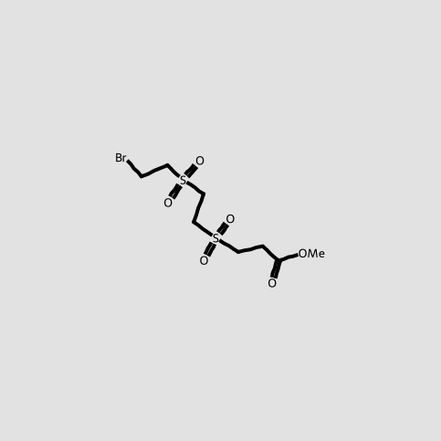 COC(=O)CCS(=O)(=O)CCS(=O)(=O)CCBr